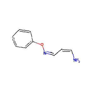 N/C=C\C=N/Oc1ccccc1